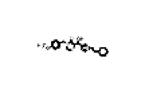 COc1ccc(CN2CCOC(C(O)c3cn(CCC4CCCCC4)cn3)C2=O)cc1